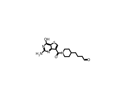 Nc1nc(O)c2scc(C(=O)N3CCC(CCCC=O)CC3)c2n1